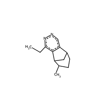 CCc1nncc2c1C1CC2CCC1C